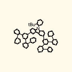 CC(C)(C)c1ccccc1-n1c2ccc(-c3cc(-c4ccccc4-c4ccccc4)cc(-c4ccccc4-c4ccccc4)c3)cc2c2cc(-c3cc(-c4ccccc4-c4ccccc4)cc(-c4ccccc4-c4ccccc4)c3)ccc21